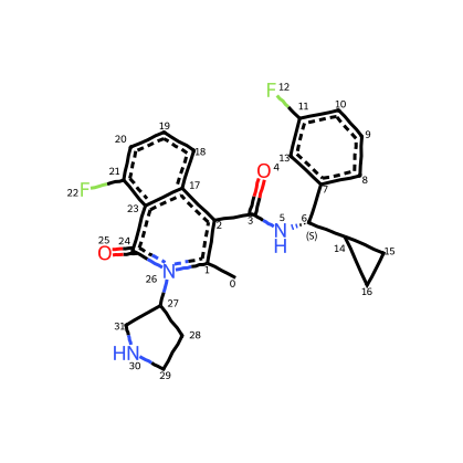 Cc1c(C(=O)N[C@H](c2cccc(F)c2)C2CC2)c2cccc(F)c2c(=O)n1C1CCNC1